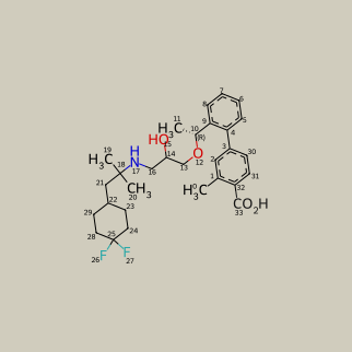 Cc1cc(-c2ccccc2[C@@H](C)OCC(O)CNC(C)(C)CC2CCC(F)(F)CC2)ccc1C(=O)O